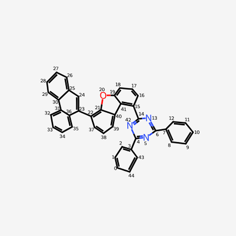 c1ccc(-c2nc(-c3ccccc3)nc(-c3cccc4oc5c(-c6cc7ccccc7c7ccccc67)cccc5c34)n2)cc1